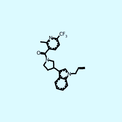 C=CCn1cc(C2CCN(C(=O)c3ccc(C(F)(F)F)nc3C)C2)c2ccccc21